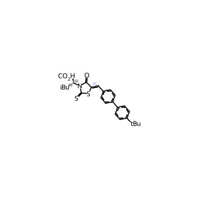 CC[C@@H](C)[C@@H](C(=O)O)N1C(=O)/C(=C/c2ccc(-c3ccc(C(C)(C)C)cc3)cc2)SC1=S